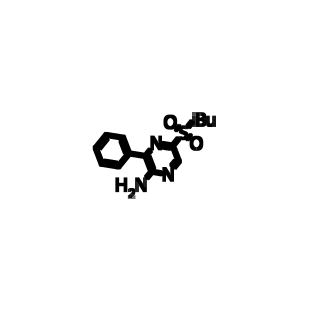 CCC(C)S(=O)(=O)c1cnc(N)c(-c2ccccc2)n1